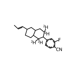 [2H]C1([2H])CC2CC(/C=C/C)CCC2C([2H])([2H])C1c1ccc(C#N)c(F)c1